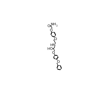 NC(=O)COc1ccc(OCCNCC(O)COc2ccc(OCc3ccccc3)cc2)cc1